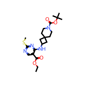 CCOC(=O)c1cnc(SC)nc1NC1CC2(CCN(C(=O)OC(C)(C)C)CC2)C1